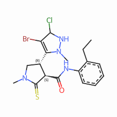 CCc1ccccc1NC(=O)[C@H]1C(=S)N(C)C[C@@H]1C1=C(Br)C(Cl)NN1C